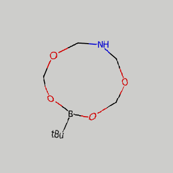 CC(C)(C)B1OCOCNCOCO1